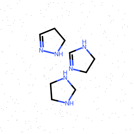 C1=NCCN1.C1=NNCC1.C1CNCN1